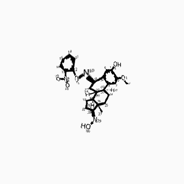 COc1cc2c(cc1O)C(=NOc1ccccc1[N+](=O)[O-])C[C@@H]1[C@@H]2CC[C@]2(C)C(=NO)CC[C@@H]12